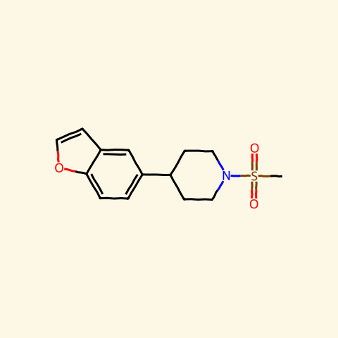 CS(=O)(=O)N1CCC(c2ccc3occc3c2)CC1